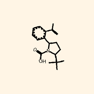 C=C(C)c1ccccc1C1CCC(C(C)(C)C)N1C(=O)O